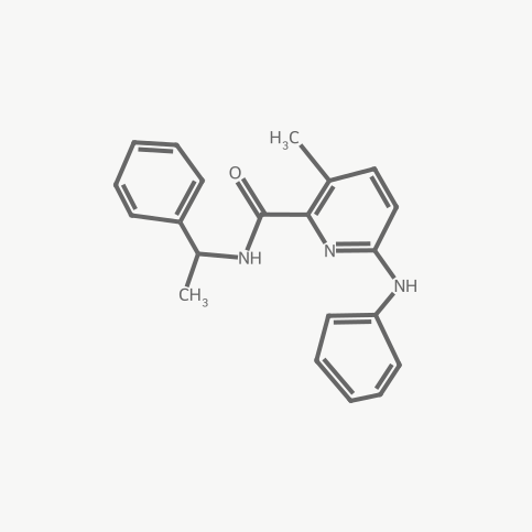 Cc1ccc(Nc2ccccc2)nc1C(=O)NC(C)c1ccccc1